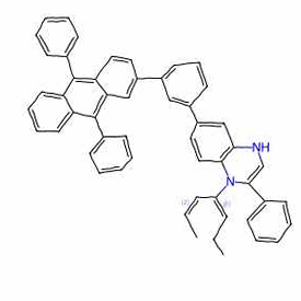 C/C=C\C(=C/CC)N1C(c2ccccc2)=CNc2cc(-c3cccc(-c4ccc5c(-c6ccccc6)c6ccccc6c(-c6ccccc6)c5c4)c3)ccc21